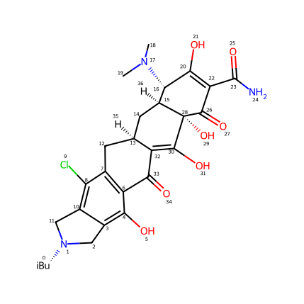 CC[C@@H](C)N1Cc2c(O)c3c(c(Cl)c2C1)C[C@H]1C[C@H]2[C@H](N(C)C)C(O)=C(C(N)=O)C(=O)[C@@]2(O)C(O)=C1C3=O